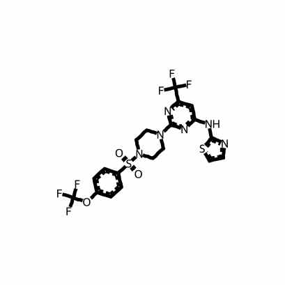 O=S(=O)(c1ccc(OC(F)(F)F)cc1)N1CCN(c2nc(Nc3nccs3)cc(C(F)(F)F)n2)CC1